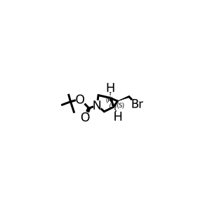 CC(C)(C)OC(=O)N1C[C@@H]2[C@H](CBr)[C@@H]2C1